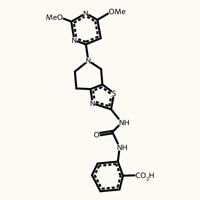 COc1cc(N2CCc3nc(NC(=O)Nc4ccccc4C(=O)O)sc3C2)nc(OC)n1